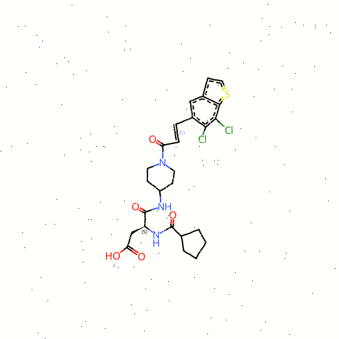 O=C(O)C[C@H](NC(=O)C1CCCC1)C(=O)NC1CCN(C(=O)/C=C/c2cc3ccsc3c(Cl)c2Cl)CC1